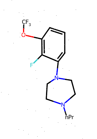 CCCN1CCN(c2cccc(OC(F)(F)F)c2F)CC1